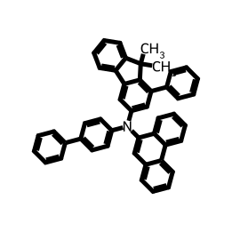 CC1(C)c2ccccc2-c2cc(N(c3ccc(-c4ccccc4)cc3)c3cc4ccccc4c4ccccc34)cc(-c3ccccc3)c21